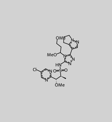 COCCC(OC)n1c(NS(=O)(=O)[C@@H](C)[C@H](OC)c2ncc(Cl)cn2)nnc1-c1cnn2c1CCC2